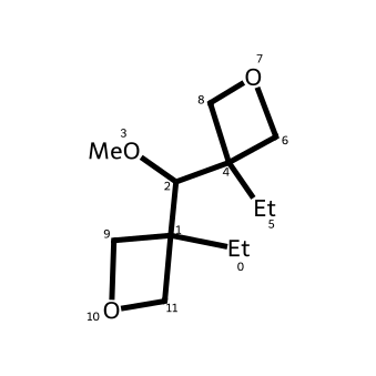 CCC1(C(OC)C2(CC)COC2)COC1